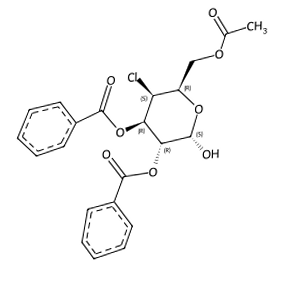 CC(=O)OC[C@H]1O[C@H](O)[C@H](OC(=O)c2ccccc2)[C@@H](OC(=O)c2ccccc2)[C@H]1Cl